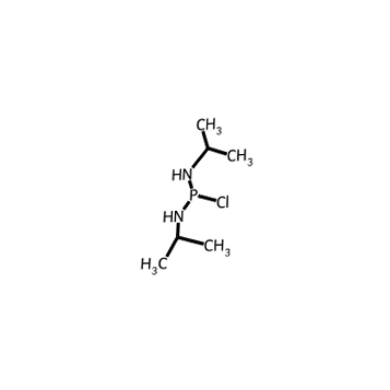 CC(C)NP(Cl)NC(C)C